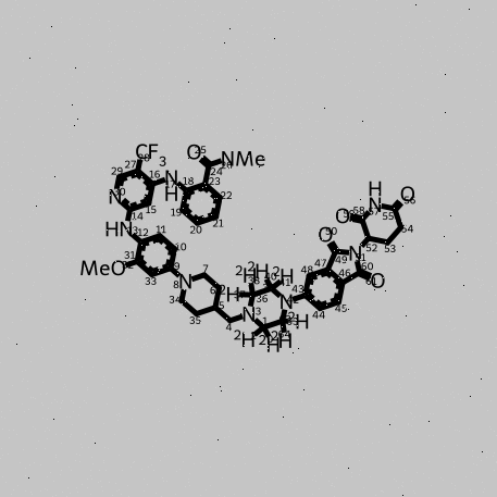 [2H]C1([2H])N(CC2CCN(c3ccc(Nc4cc(Nc5ccccc5C(=O)NC)c(C(F)(F)F)cn4)c(OC)c3)CC2)C([2H])([2H])C([2H])([2H])N(c2ccc3c(c2)C(=O)N(C2CCC(=O)NC2=O)C3=O)C1([2H])[2H]